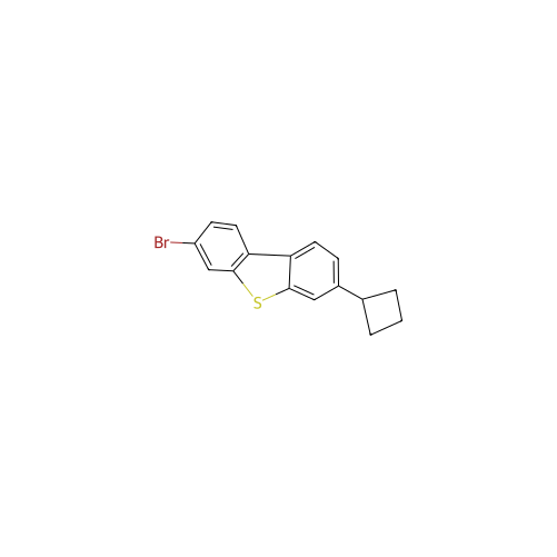 Brc1ccc2c(c1)sc1cc(C3CCC3)ccc12